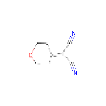 N#CC(C#N)=C1CCOCC1